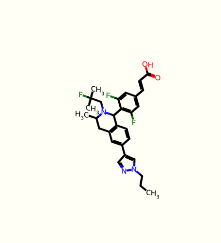 CCCn1cc(-c2ccc3c(c2)CC(C)N(CC(C)(C)F)C3c2c(F)cc(/C=C/C(=O)O)cc2F)cn1